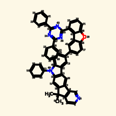 CC1(C)c2ccncc2-c2cc3c4cc(-c5ccc6oc7cccc(-c8nc(-c9ccccc9)nc(-c9ccccc9)n8)c7c6c5)ccc4n(-c4ccccc4)c3cc21